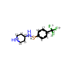 FC(F)(F)c1ccc(SNC2CCNCC2)cc1